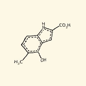 Cc1ccc2[nH]c(C(=O)O)cc2c1O